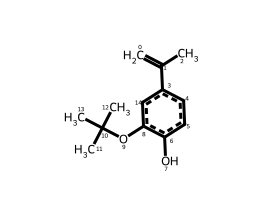 C=C(C)c1ccc(O)c(OC(C)(C)C)c1